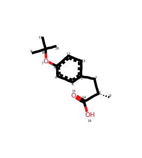 C[C@@H](Cc1ccc(OC(C)(C)C)cc1)C(=O)O